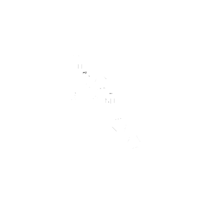 O=C1CCC2[C@H]3Cc4ccc(C(=O)NCCc5ccc(-c6ccc7c(c6)OCO7)cc5)c(O)c4[C@@]2(CCN3CC2CC2)C1